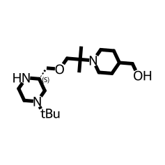 CC(C)(C)N1CCN[C@H](COCC(C)(C)N2CCC(CO)CC2)C1